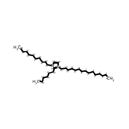 CCCCCCCCCCCCCCC[n+]1ccn(CCCCCCCCCC)c1CCCCCC